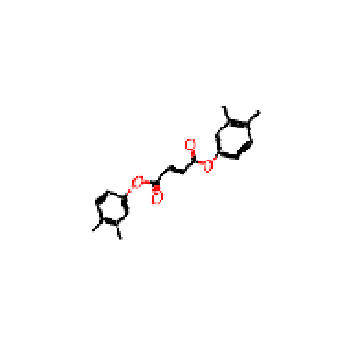 Cc1ccc(OC(=O)C=CC(=O)Oc2ccc(C)c(C)c2)cc1C